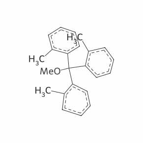 COC(c1ccccc1C)(c1ccccc1C)c1ccccc1C